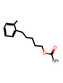 CCCC(=O)OCCCCCc1ccccc1C